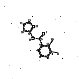 Cc1cccc(C(=O)Oc2ccco2)c1C